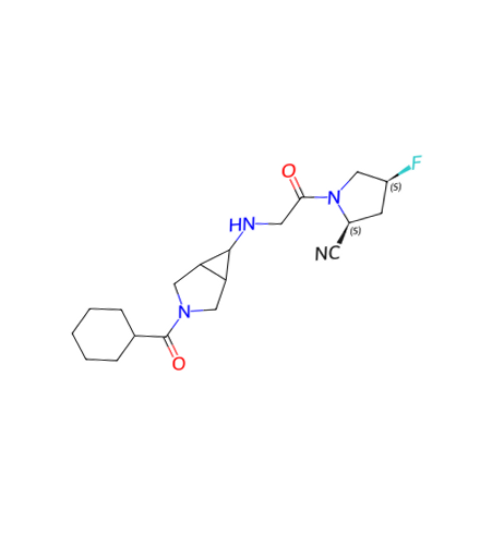 N#C[C@@H]1C[C@H](F)CN1C(=O)CNC1C2CN(C(=O)C3CCCCC3)CC21